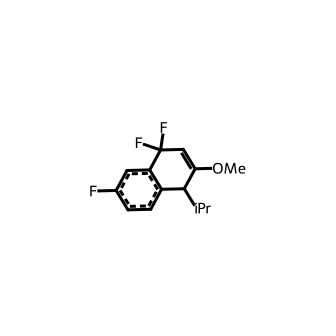 COC1=CC(F)(F)c2cc(F)ccc2C1C(C)C